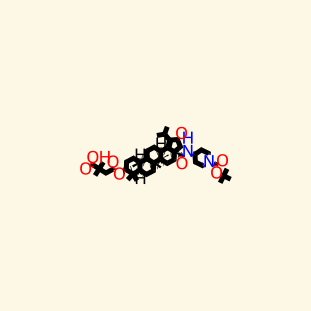 CC(C)C1=C2[C@H]3CC[C@@H]4[C@@]5(C)CC[C@H](OC(=O)CC(C)(C)C(=O)O)C(C)(C)[C@@H]5CC[C@@]4(C)[C@]3(C)CC[C@@]2(C(=O)NC2CCN(C(=O)OC(C)(C)C)CC2)CC1=O